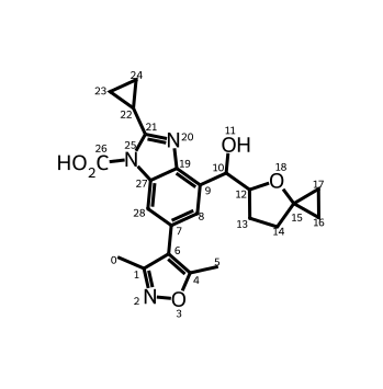 Cc1noc(C)c1-c1cc(C(O)C2CCC3(CC3)O2)c2nc(C3CC3)n(C(=O)O)c2c1